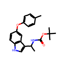 Cc1ccc(Oc2ccc3[nH]cc(C(C)NC(=O)OC(C)(C)C)c3c2)cc1